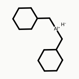 C1CCC([CH2][Al+][CH2]C2CCCCC2)CC1.[H-]